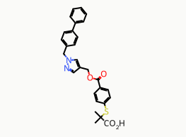 CC(C)(Sc1ccc(C(=O)OCc2cnn(Cc3ccc(-c4ccccc4)cc3)c2)cc1)C(=O)O